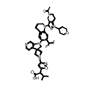 CC(=O)N1CCc2c(c(N3CCCc4cc(N5CC6(CN(c7cc(C(C(=O)O)C(C)C)on7)C6)c6ccncc65)c(C(F)F)cc43)nn2C2CCOCC2)C1